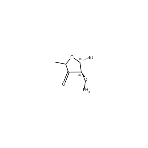 CC[C@H]1OC(C)C(=O)[C@@H]1OP